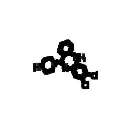 Clc1cc2c(cc1Cl)Nc1ccccc1C(N1CCNCC1)=N2